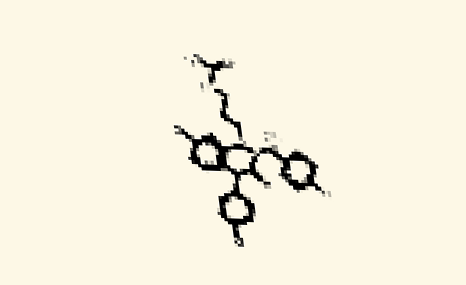 C[C@H](c1ccc(O)cc1)N(C(=O)C(c1ccc(Cl)cc1)c1ccc(Cl)cc1)[C@H](CCCNC(=N)N)C(N)=O